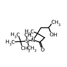 CC(O)CC1(C)CC(=O)N1[Si](C)(C)C(C)(C)C